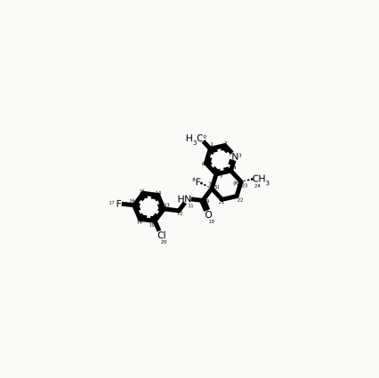 Cc1cnc2c(c1)[C@](F)(C(=O)NCc1ccc(F)cc1Cl)CC[C@H]2C